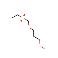 CCS(=O)(=O)COCCCOC